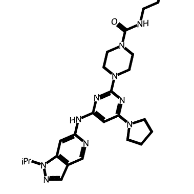 CC(C)CCNC(=O)N1CCN(c2nc(Nc3cc4c(cn3)cnn4C(C)C)cc(N3CCCC3)n2)CC1